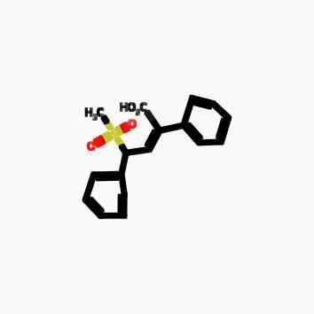 CS(=O)(=O)C(C=C(C(=O)O)c1ccccc1)c1ccccc1